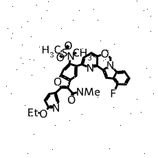 CCOc1ccc(-c2oc3cc(N(C)S(C)(=O)=O)c(-c4ccc5c(n4)-c4cc6c(F)cccc6n4CO5)cc3c2C(=O)NC)cn1